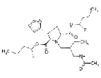 CCCC(F)OC(=O)[C@H]1C[C@@H](c2cscn2)[C@H](C(=O)OC(F)CCC)N1CC(CC)CNC(C)=O